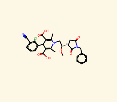 COC(CN1C(C)=C(C(=O)O)C(c2cccc(C#N)c2Cl)C(C(=O)O)=C1C)[C@@H]1CC(=O)N(Cc2ccccc2)C1=O